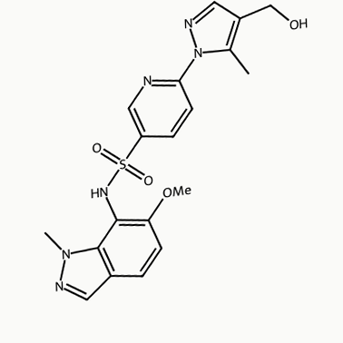 COc1ccc2cnn(C)c2c1NS(=O)(=O)c1ccc(-n2ncc(CO)c2C)nc1